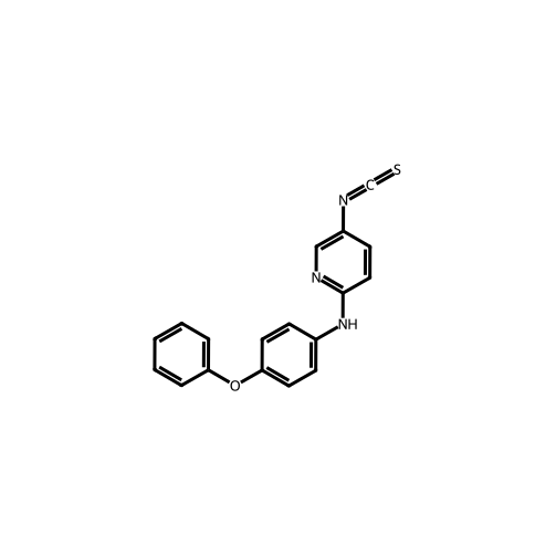 S=C=Nc1ccc(Nc2ccc(Oc3ccccc3)cc2)nc1